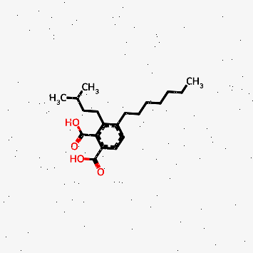 CCCCCCCc1ccc(C(=O)O)c(C(=O)O)c1CCC(C)C